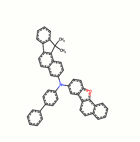 CC1(C)c2ccccc2-c2ccc3cc(N(c4ccc(-c5ccccc5)cc4)c4ccc5oc6c7ccccc7ccc6c5c4)ccc3c21